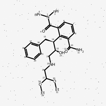 CCCN(CCC)C(=O)c1cccc(C(N)=O)c1[C@H](Cc1ccccc1)[C@@H](O)CNCC(OCC)OCC